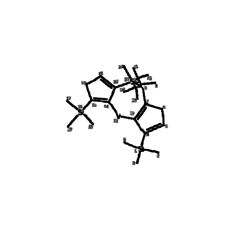 C[Si](C)(C)C1=CCC([Si](C)(C)C)=[C]1[V][C]1=C([Si](C)(C)C)CC=C1[Si](C)(C)C